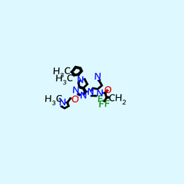 C=C(C(=O)N1CCN(c2nc(OCC3CCCN3C)nc3c2CCN(c2cccc(C)c2C)C3)CC1CC#N)C(F)(F)F